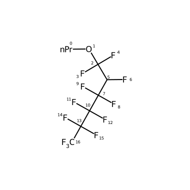 [CH2]CCOC(F)(F)C(F)C(F)(F)C(F)(F)C(F)(F)C(F)(F)F